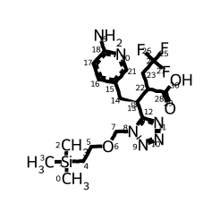 C[Si](C)(C)CCOCn1nnnc1[C@@H](Cc1ccc(N)nc1)C(CC(F)(F)F)C(=O)O